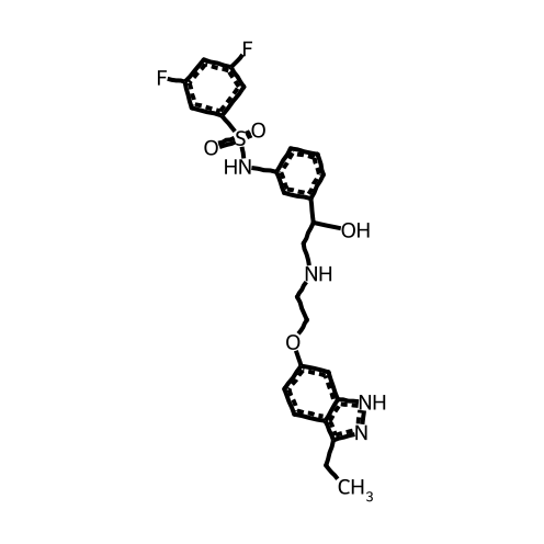 CCc1n[nH]c2cc(OCCNCC(O)c3cccc(NS(=O)(=O)c4cc(F)cc(F)c4)c3)ccc12